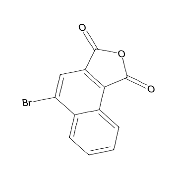 O=C1OC(=O)c2c1cc(Br)c1ccccc21